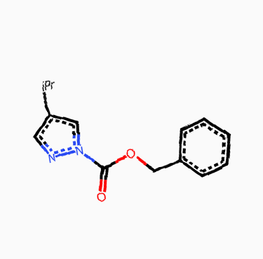 CC(C)c1cnn(C(=O)OCc2ccccc2)c1